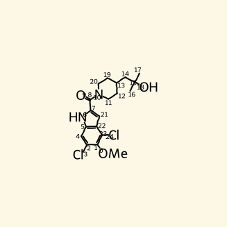 COc1c(Cl)cc2[nH]c(C(=O)N3CCC(CC(C)(C)O)CC3)cc2c1Cl